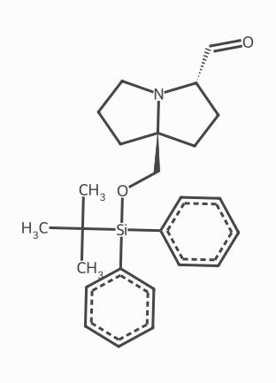 CC(C)(C)[Si](OC[C@@]12CCCN1[C@H](C=O)CC2)(c1ccccc1)c1ccccc1